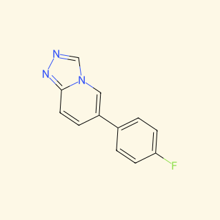 Fc1ccc(-c2ccc3nncn3c2)cc1